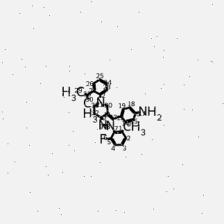 Cc1cccc(F)c1-n1nc2c(c1-c1ccc(N)cc1)CN(c1ccccc1C(C)C)CC2